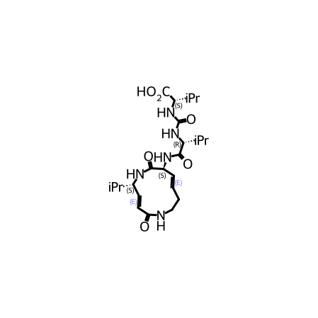 CC(C)[C@H](NC(=O)N[C@@H](C(=O)N[C@H]1/C=C/CCNC(=O)/C=C/[C@H](C(C)C)NC1=O)C(C)C)C(=O)O